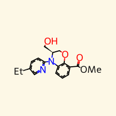 CCc1ccc(N2c3cccc(C(=O)OC)c3OC[C@@H]2CO)nc1